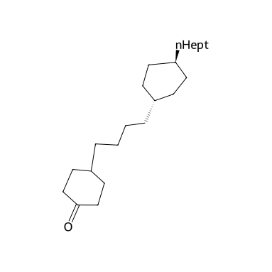 CCCCCCC[C@H]1CC[C@H](CCCCC2CCC(=O)CC2)CC1